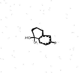 CC1(O)CCCc2cc(Br)ccc21